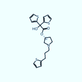 O=C(O[C@@H]1CCN(CCCc2cccs2)C1)C(O)(c1cccs1)c1cccs1